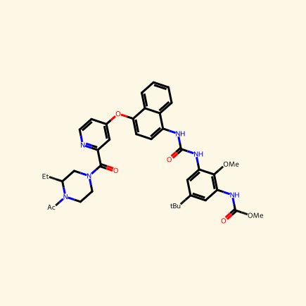 CCC1CN(C(=O)c2cc(Oc3ccc(NC(=O)Nc4cc(C(C)(C)C)cc(NC(=O)OC)c4OC)c4ccccc34)ccn2)CCN1C(C)=O